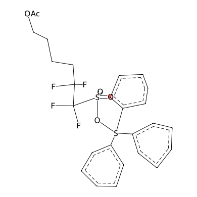 CC(=O)OCCCCC(F)(F)C(F)(F)S(=O)(=O)OS(c1ccccc1)(c1ccccc1)c1ccccc1